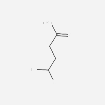 CCCCC(=O)CCC(O)C(C)=O